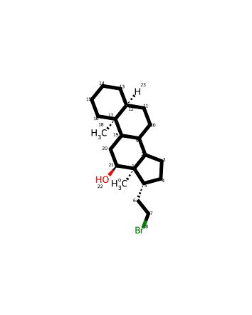 C[C@]12C(CC[C@@H]1CCBr)C1CC[C@@H]3CCCC[C@]3(C)C1C[C@@H]2O